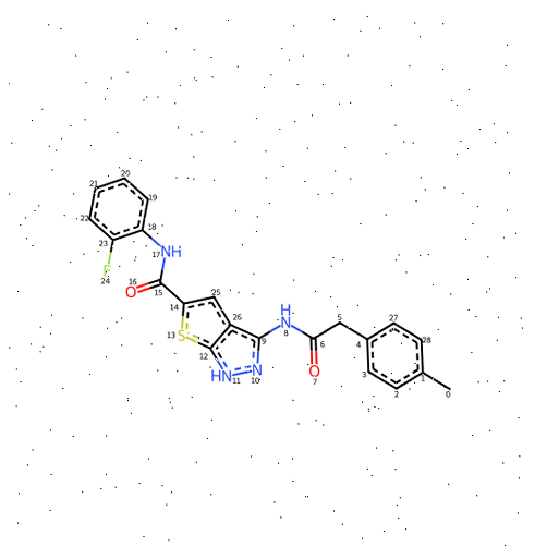 Cc1ccc(CC(=O)Nc2n[nH]c3sc(C(=O)Nc4ccccc4F)cc23)cc1